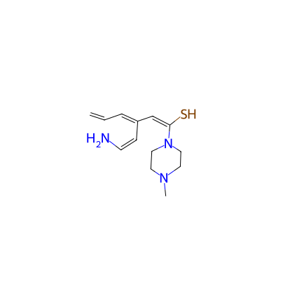 C=C/C=C(\C=C/N)/C=C(/S)N1CCN(C)CC1